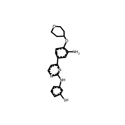 Nc1cc(-c2ccnc(Nc3cccc(S)c3)n2)ccc1OC1CCOCC1